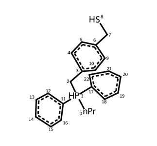 CCC[PH](Cc1ccc(CS)cc1)(c1ccccc1)c1ccccc1